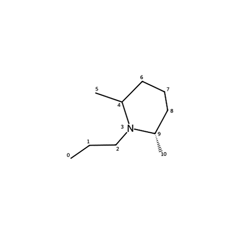 CCCN1C(C)CCC[C@@H]1C